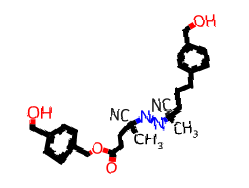 CC(C#N)(CCCc1ccc(CO)cc1)N=NC(C)(C#N)CCC(=O)OCc1ccc(CO)cc1